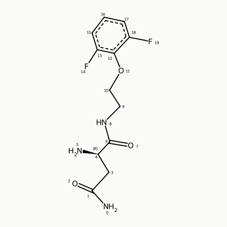 NC(=O)C[C@@H](N)C(=O)NCCOc1c(F)cccc1F